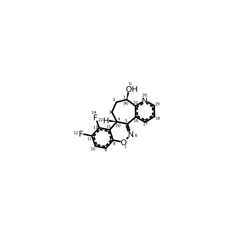 O[C@@H]1CC[C@@H]2C(=NOc3ccc(F)c(F)c32)c2cccnc21